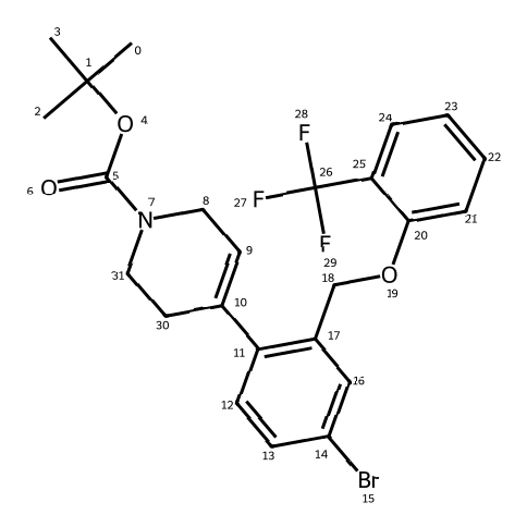 CC(C)(C)OC(=O)N1CC=C(c2ccc(Br)cc2COc2ccccc2C(F)(F)F)CC1